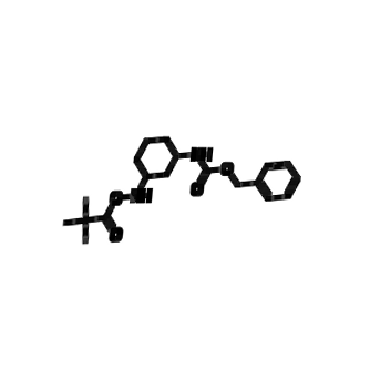 CC(C)(C)C(=O)ONC1CCCC(NC(=O)OCc2ccccc2)C1